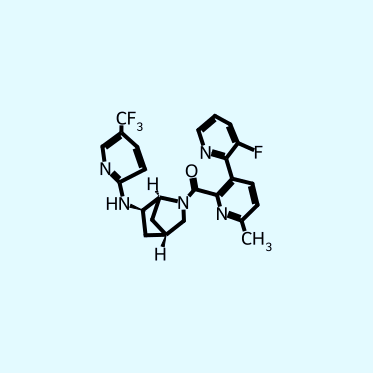 Cc1ccc(-c2ncccc2F)c(C(=O)N2C[C@@H]3C[C@@H](Nc4ccc(C(F)(F)F)cn4)[C@@H]2C3)n1